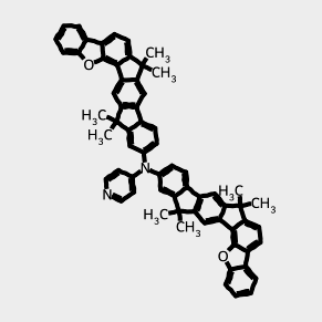 CC1(C)c2cc(N(c3ccncc3)c3ccc4c(c3)C(C)(C)c3cc5c(cc3-4)C(C)(C)c3ccc4c(oc6ccccc64)c3-5)ccc2-c2cc3c(cc21)-c1c(ccc2c1oc1ccccc12)C3(C)C